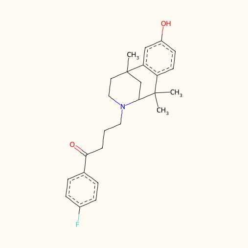 CC12CCN(CCCC(=O)c3ccc(F)cc3)C(C1)C(C)(C)c1ccc(O)cc12